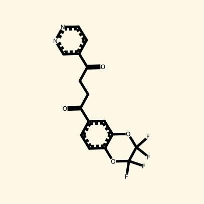 O=C(CCC(=O)c1ccc2c(c1)OC(F)(F)C(F)(F)O2)c1ccnnc1